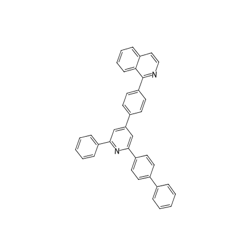 c1ccc(-c2ccc(-c3cc(-c4ccc(-c5nccc6ccccc56)cc4)cc(-c4ccccc4)n3)cc2)cc1